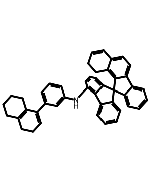 C1=Cc2ccc3c(c2CC1)C1(c2ccccc2-3)c2ccccc2-c2c(Nc3cccc(C4=CCCC5=C4CCCC5)c3)cccc21